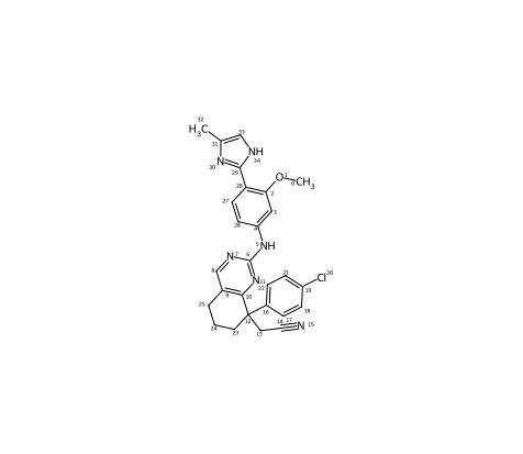 COc1cc(Nc2ncc3c(n2)C(CC#N)(c2ccc(Cl)cc2)CCC3)ccc1-c1nc(C)c[nH]1